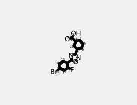 O=C(O)c1cccc(-c2noc(-c3ccc(Br)cc3F)n2)c1